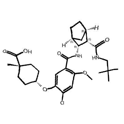 COc1cc(Cl)c(O[C@H]2CC[C@@](C)(C(=O)O)CC2)cc1C(=O)N[C@@H]1[C@H]2CC[C@H](C2)[C@@H]1C(=O)NCC(C)(C)C